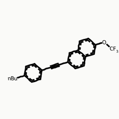 CCCCc1ccc(C#Cc2ccc3cc(OC(F)(F)F)ccc3c2)cc1